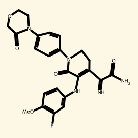 COc1ccc(NC2=C(C(=N)C(N)=O)CCN(c3ccc(N4CCOCC4=O)cc3)C2=O)cc1F